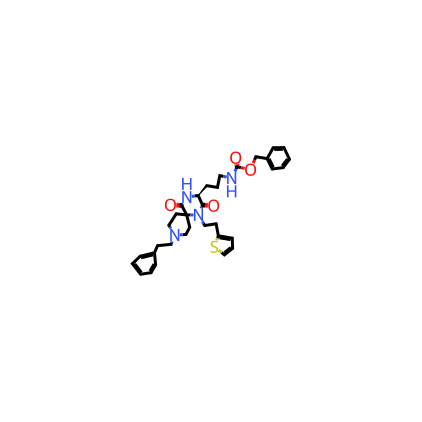 O=C(NCCC[C@@H]1NC(=O)C2(CCN(CCc3ccccc3)CC2)N(CCc2cccs2)C1=O)OCc1ccccc1